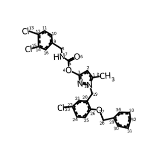 Cc1cc(OC(=O)NCc2ccc(Cl)c(Cl)c2)nn1Cc1cc(Cl)ccc1OCc1ccccc1